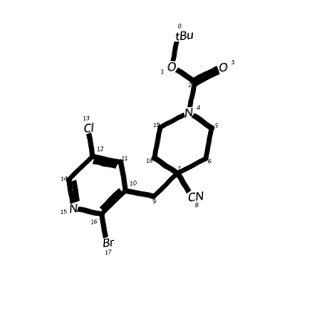 CC(C)(C)OC(=O)N1CCC(C#N)(Cc2cc(Cl)cnc2Br)CC1